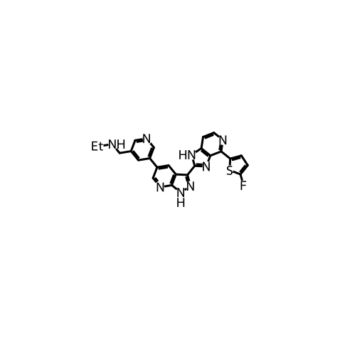 CCNCc1cncc(-c2cnc3[nH]nc(-c4nc5c(-c6ccc(F)s6)nccc5[nH]4)c3c2)c1